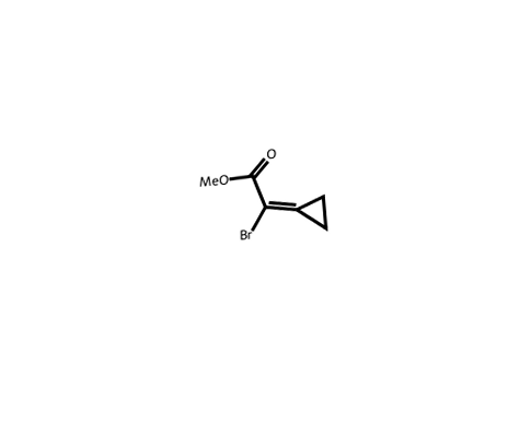 COC(=O)C(Br)=C1CC1